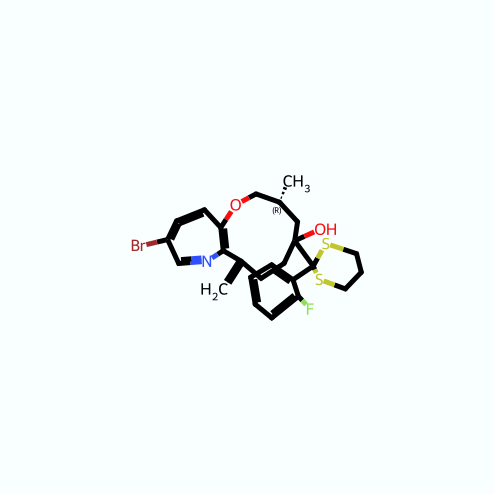 C=C1CCC(O)(C2(c3ccccc3F)SCCCS2)C[C@@H](C)COC2=C1N=CC(Br)=C=C2